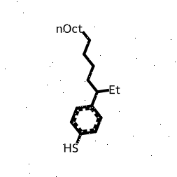 CCCCCCCCCCCCC(CC)c1ccc(S)cc1